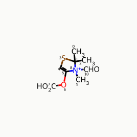 CC1(C)SC=C(OC(=O)O)[N+]1(C)C=O